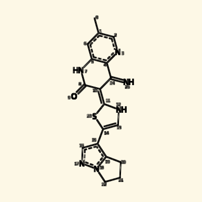 Cc1cnc2c(c1)NC(=O)/C(=C1/NC=C(c3cnn4c3CCC4)S1)C2=N